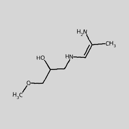 COCC(O)CNC=C(C)N